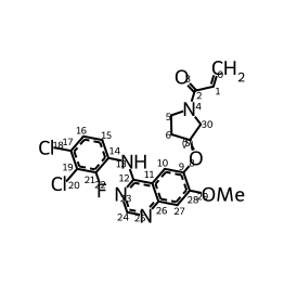 C=CC(=O)N1CC[C@H](Oc2cc3c(Nc4ccc(Cl)c(Cl)c4F)ncnc3cc2OC)C1